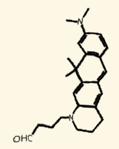 CN(C)c1ccc2c(c1)C(C)(C)C1=CC3C(=CC1=C2)CCCN3CCCC=O